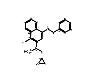 O=C(O)N(C[C@@H]1CO1)c1cc(OCc2ccccc2)c2ccccc2c1I